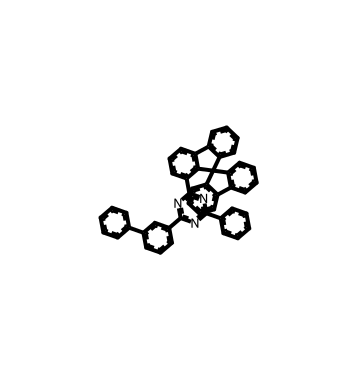 c1ccc(-c2cccc(-c3nc(-c4ccccc4)nc(-c4cccc5c4C4(c6ccccc6-c6ccccc64)c4ccccc4-5)n3)c2)cc1